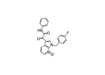 O=C(Nc1ccccc1)C(=O)c1cn(Cc2ccc(F)cc2)c2c1ccc[n+]2[O-]